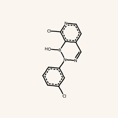 OB1c2c(ccnc2Cl)C=NN1c1cccc(Cl)c1